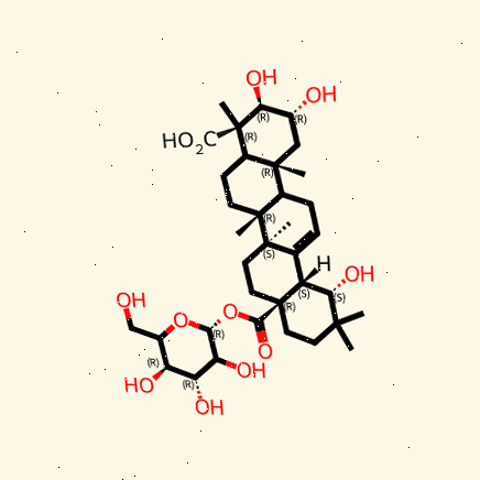 CC1(C)CC[C@]2(C(=O)O[C@H]3OC(CO)[C@H](O)[C@@H](O)C3O)CC[C@]3(C)C(=CCC4[C@@]5(C)C[C@@H](O)[C@H](O)[C@](C)(C(=O)O)C5CC[C@]43C)[C@@H]2[C@@H]1O